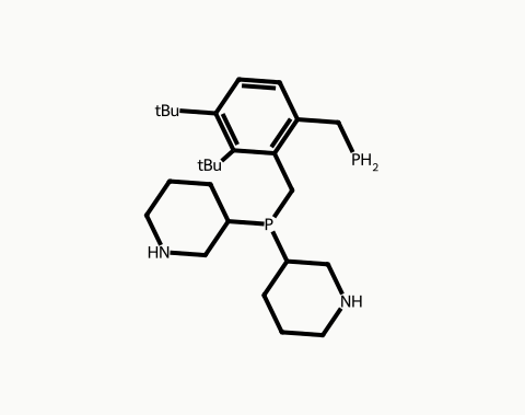 CC(C)(C)c1ccc(CP)c(CP(C2CCCNC2)C2CCCNC2)c1C(C)(C)C